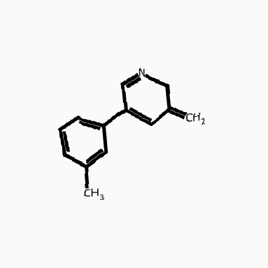 C=C1C=C(c2cccc(C)c2)C=NC1